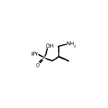 CC(CN)CP(=O)(O)C(C)C